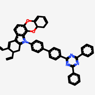 C=CC1Cc2c(c3ccc4c(c3n2-c2ccc(-c3ccc(-c5nc(-c6ccccc6)nc(-c6ccccc6)n5)cc3)cc2)OC2CC=CC=C2O4)C=C1/C=C\C